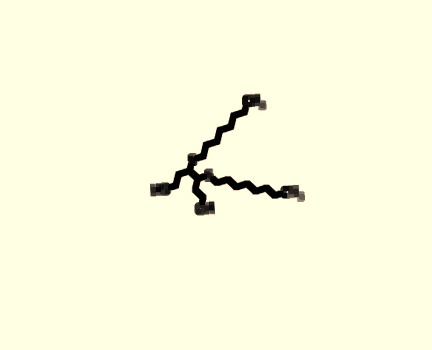 CCCCCCCCSC(CCO)C(CCO)SCCCCCCCC